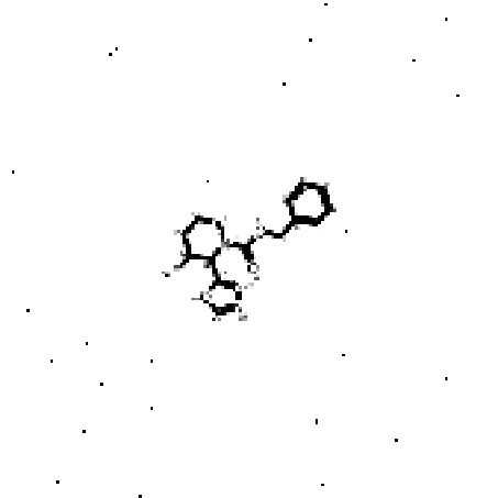 O=C(OCc1ccccc1)N1CCCC(F)C1c1nnco1